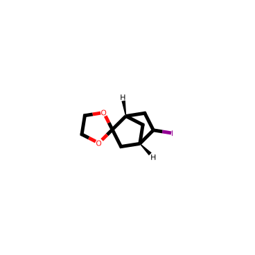 IC1C[C@@H]2C[C@H]1CC21OCCO1